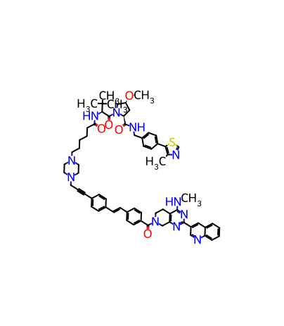 CNc1nc(-c2cnc3ccccc3c2)nc2c1CCN(C(=O)c1ccc(/C=C/c3ccc(C#CCN4CCN(CCCCCC(=O)N[C@H](C(=O)N5C[C@H](OC)C[C@H]5C(=O)NCc5ccc(-c6scnc6C)cc5)C(C)(C)C)CC4)cc3)cc1)C2